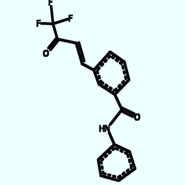 O=C(Nc1ccccc1)c1cccc(/C=C/C(=O)C(F)(F)F)c1